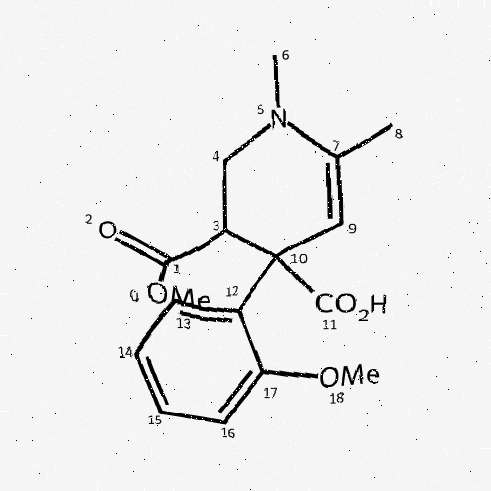 COC(=O)C1CN(C)C(C)=CC1(C(=O)O)c1ccccc1OC